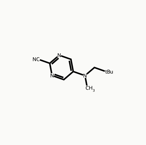 CN(CC(C)(C)C)c1cnc(C#N)nc1